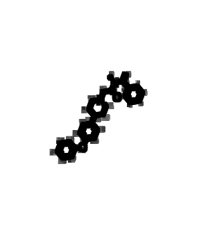 C=C(c1ccccc1)N(C)C(=O)CN1CCC(c2ccc(Oc3ccccc3)cc2)CC1